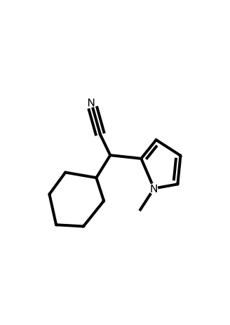 Cn1cccc1C(C#N)C1CCCCC1